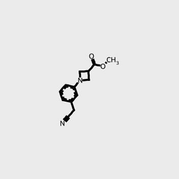 COC(=O)C1CN(c2cccc(CC#N)c2)C1